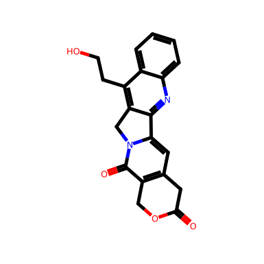 O=C1Cc2cc3n(c(=O)c2CO1)Cc1c-3nc2ccccc2c1CCO